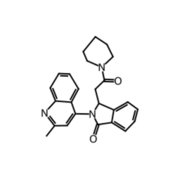 Cc1cc(N2C(=O)c3ccccc3C2CC(=O)N2CCCCC2)c2ccccc2n1